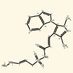 CCCCNC=CCS(=O)(=O)NC(=O)/C=C/c1c(C)nn(C)c1-n1ccc2ccncc21